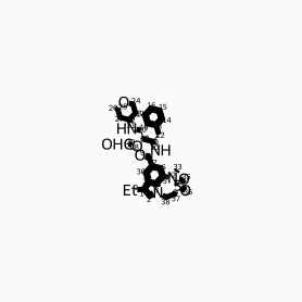 CCc1cn2c3c(cc(C(=O)N[C@@H](Cc4ccccc4)[C@@H](CNC4CCOCC4)OC=O)cc13)N(C)S(=O)(=O)CC2